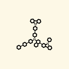 c1ccc(-c2ccc(-c3ccc(N(c4ccc(-c5ccc(-n6c7ccccc7c7ccccc76)cc5)cc4)c4ccc(-c5ccc6c7ccccc7n(-c7ccccc7)c6c5)c5ccccc45)cc3)cc2)cc1